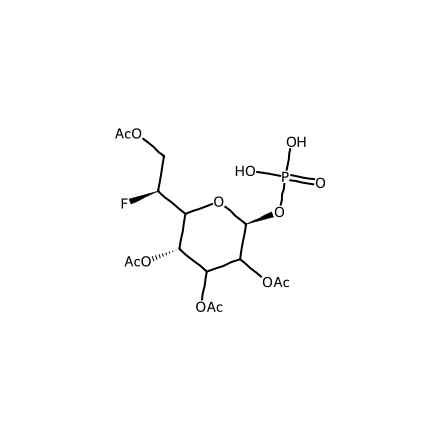 CC(=O)OC[C@H](F)C1O[C@@H](OP(=O)(O)O)C(OC(C)=O)C(OC(C)=O)[C@@H]1OC(C)=O